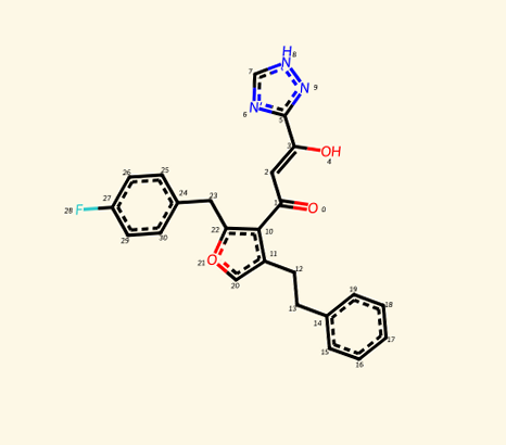 O=C(C=C(O)c1nc[nH]n1)c1c(CCc2ccccc2)coc1Cc1ccc(F)cc1